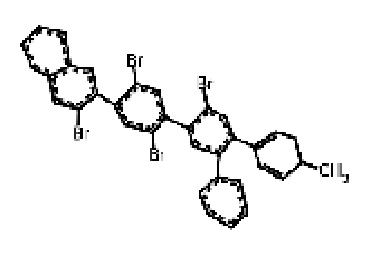 CC1C=CC(c2cc(Br)c(-c3cc(Br)c(-c4cc5ccccc5cc4Br)cc3Br)cc2-c2ccccc2)=CC1